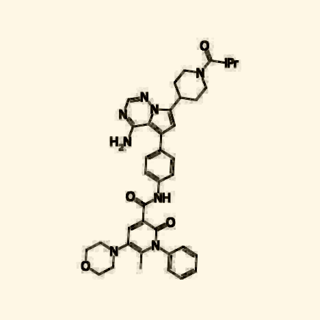 Cc1c(N2CCOCC2)cc(C(=O)Nc2ccc(-c3cc(C4CCN(C(=O)C(C)C)CC4)n4ncnc(N)c34)cc2)c(=O)n1-c1ccccc1